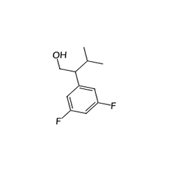 CC(C)C(CO)c1cc(F)cc(F)c1